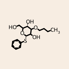 CCCCOC1C(O)[C@H](Sc2ccccc2)OC(CO)[C@@H]1O